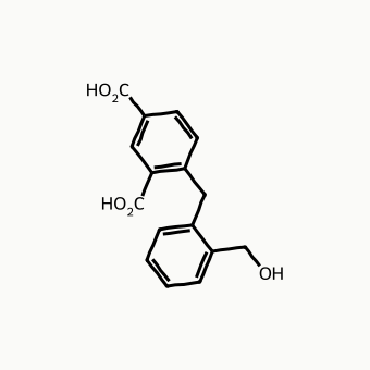 O=C(O)c1ccc(Cc2ccccc2CO)c(C(=O)O)c1